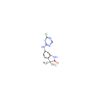 CC1(C)C(=O)Nc2cc(Nc3ncnc(Cl)n3)ccc21